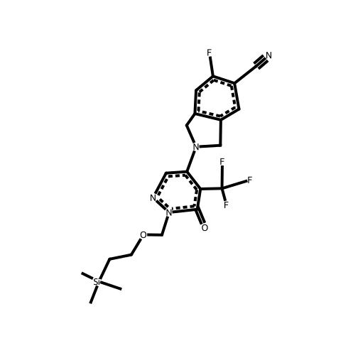 C[Si](C)(C)CCOCn1ncc(N2Cc3cc(F)c(C#N)cc3C2)c(C(F)(F)F)c1=O